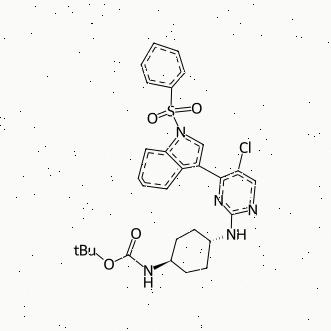 CC(C)(C)OC(=O)N[C@H]1CC[C@H](Nc2ncc(Cl)c(-c3cn(S(=O)(=O)c4ccccc4)c4ccccc34)n2)CC1